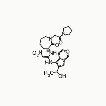 CC(O)c1cc2coccc-2c1NC(=C[N+](=O)[O-])N[C@H]1CCCCN(CC(=O)N2CCCC2)C1=O